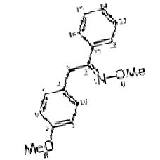 CON=C(Cc1ccc(OC)cc1)c1ccccc1